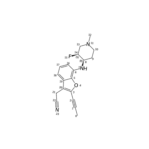 CC#Cc1oc2c(N[C@@H]3CCN(C)C[C@@H]3F)cccc2c1CC#N